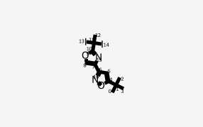 CC(C)(C)c1cc(-c2coc(C(C)(I)I)n2)no1